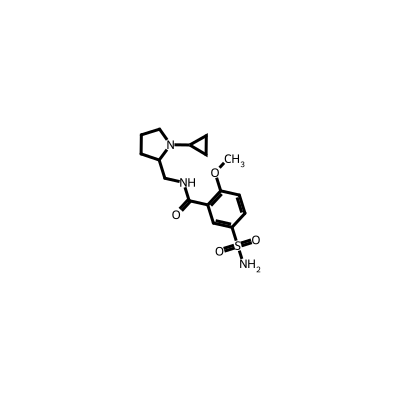 COc1ccc(S(N)(=O)=O)cc1C(=O)NCC1CCCN1C1CC1